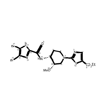 CCOC(=O)c1cnc(N2CC[C@@H](NC(=O)c3nc(Br)c(Br)[nH]3)[C@@H](OC)C2)s1